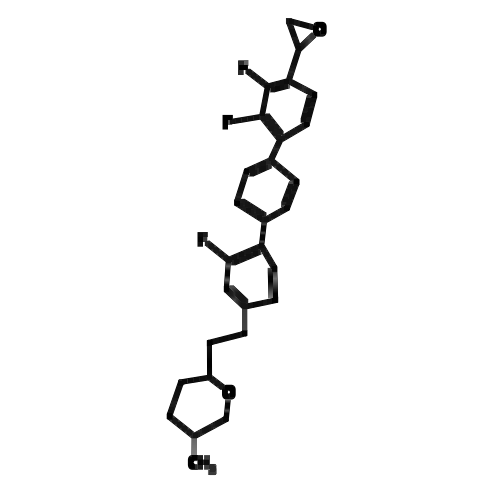 CC1CCC(CCc2ccc(-c3ccc(-c4ccc(C5CO5)c(F)c4F)cc3)c(F)c2)OC1